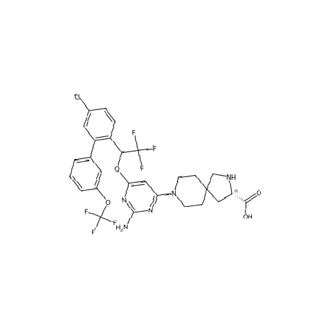 Nc1nc(OC(c2ccc(Cl)cc2-c2cccc(OC(F)(F)F)c2)C(F)(F)F)cc(N2CCC3(CC2)CN[C@H](C(=O)O)C3)n1